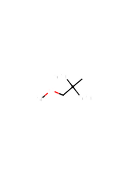 CCCCC(C)(CCCC)CO[SiH3]